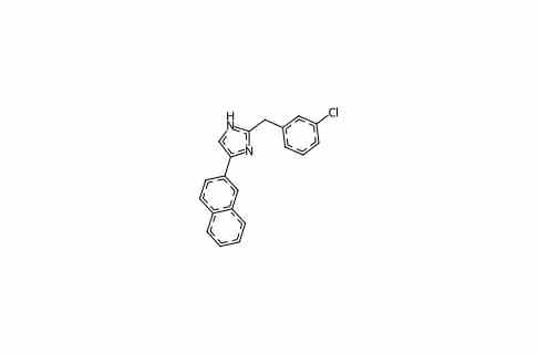 Clc1cccc(Cc2nc(-c3ccc4ccccc4c3)c[nH]2)c1